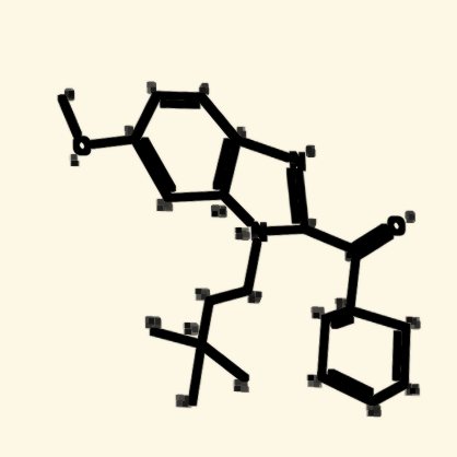 COc1ccc2nc(C(=O)c3ccccc3)n(CCC(C)(C)C)c2c1